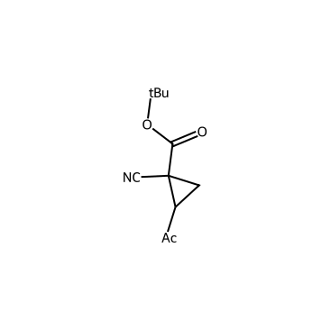 CC(=O)C1CC1(C#N)C(=O)OC(C)(C)C